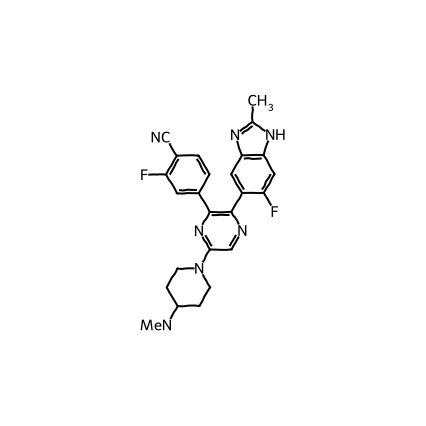 CNC1CCN(c2cnc(-c3cc4nc(C)[nH]c4cc3F)c(-c3ccc(C#N)c(F)c3)n2)CC1